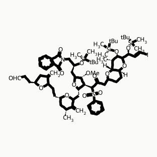 C=C1C[C@H](CCC=O)OC1CC[C@H]1C[C@@H](C)C(=C)C(C[C@@H]2OC(C[C@@H](CN3C(=O)c4ccccc4C3=O)O[Si](C)(C)C(C)(C)C)[C@H](OC)[C@H]2C(C(=O)CC2CC[C@@H]3OC([C@H](/C=C/I)O[Si](C)(C)C(C)(C)C)[C@@H](O[Si](C)(C)C(C)(C)C)[C@@H](C)[C@H]3O2)S(=O)(=O)c2ccccc2)O1